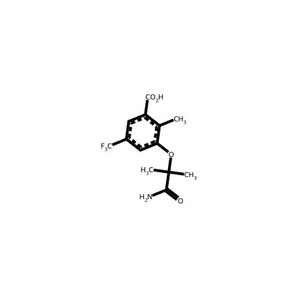 Cc1c(OC(C)(C)C(N)=O)cc(C(F)(F)F)cc1C(=O)O